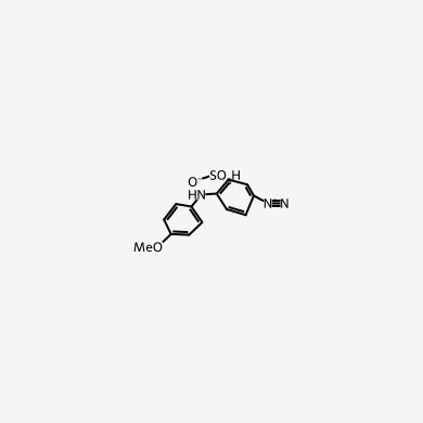 COc1ccc(Nc2ccc([N+]#N)cc2)cc1.O=S(=O)([O-])O